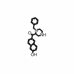 O=C(c1ccc2cc(O)ccc2c1)C1CNCCN1Cc1ccccc1